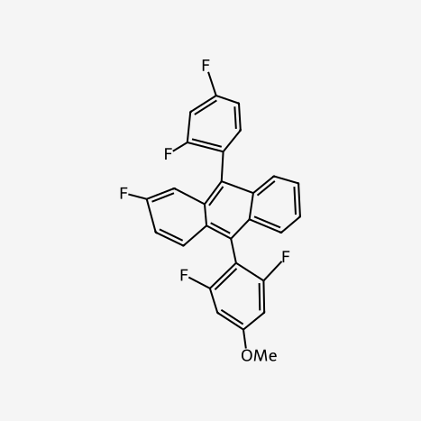 COc1cc(F)c(-c2c3ccccc3c(-c3ccc(F)cc3F)c3cc(F)ccc23)c(F)c1